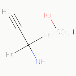 C#CC(N)(CC)CC.O=S(=O)(O)O